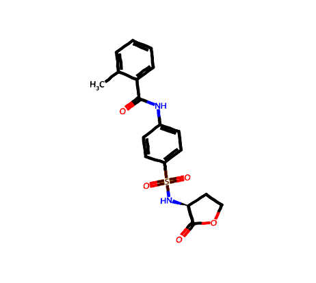 Cc1ccccc1C(=O)Nc1ccc(S(=O)(=O)N[C@H]2CCOC2=O)cc1